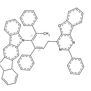 C/C(=C(\C(=C/Cc1nc(-c2ccccc2)nc2c1oc1ccccc12)c1ccccc1)n1c2ccccc2c2cc3c(cc21)C1C=CC=CC1S3)c1ccccc1